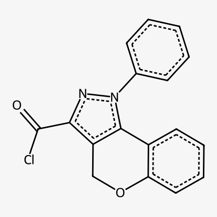 O=C(Cl)c1nn(-c2ccccc2)c2c1COc1ccccc1-2